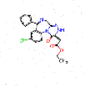 CCOC(=O)C=C1NN=C2CN=C(c3ccccc3)c3cc(Cl)ccc3N2C1=O